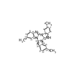 Cc1ccc2c(c1)N1c3nc4ccc(C)cc4n3-c3nc4ccc(C)cc4n3C1N2